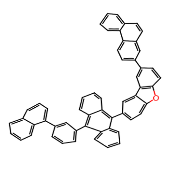 c1cc(-c2cccc3ccccc23)cc(-c2c3ccccc3c(-c3ccc4oc5ccc(-c6ccc7c(ccc8ccccc87)c6)cc5c4c3)c3ccccc23)c1